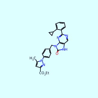 CCOC(=O)c1cc(C)n(-c2ccc(Cn3c(=O)[nH]c4cnc(-c5ccccc5C5CC5)nc43)cc2)n1